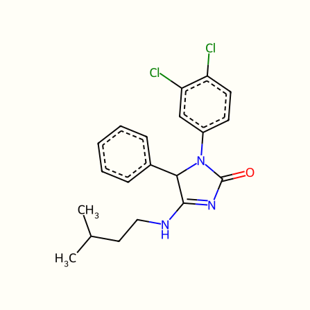 CC(C)CCNC1=NC(=O)N(c2ccc(Cl)c(Cl)c2)C1c1ccccc1